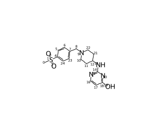 CS(=O)(=O)c1ccc(CN2CCC(Nc3nccc(O)n3)CC2)cc1